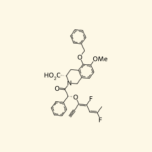 C#C/C(O[C@@H](C(=O)N1Cc2ccc(OC)c(OCc3ccccc3)c2C[C@H]1C(=O)O)c1ccccc1)=C(F)\C=C(/C)F